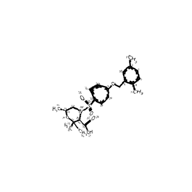 Cc1ccc(C)c(COc2ccc(S(=O)(=O)N3C[C@H](C)OC(C)(C)[C@@H]3C(=O)O)cc2)c1